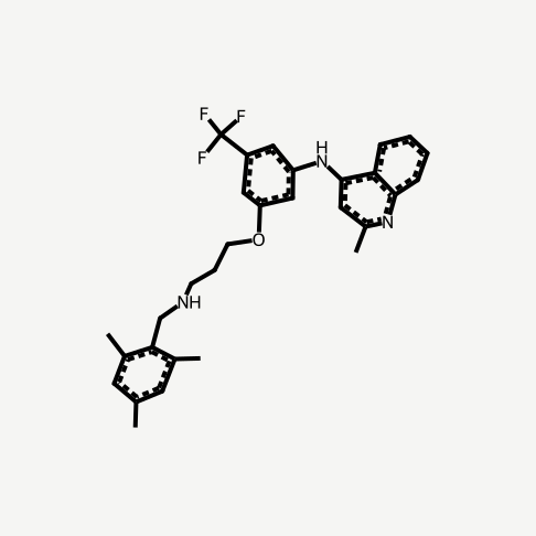 Cc1cc(C)c(CNCCCOc2cc(Nc3cc(C)nc4ccccc34)cc(C(F)(F)F)c2)c(C)c1